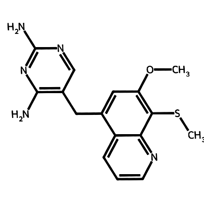 COc1cc(Cc2cnc(N)nc2N)c2cccnc2c1SC